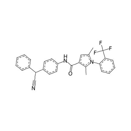 Cc1cc(C(=O)Nc2ccc(C(C#N)c3ccccc3)cc2)c(C)n1-c1ccccc1C(F)(F)F